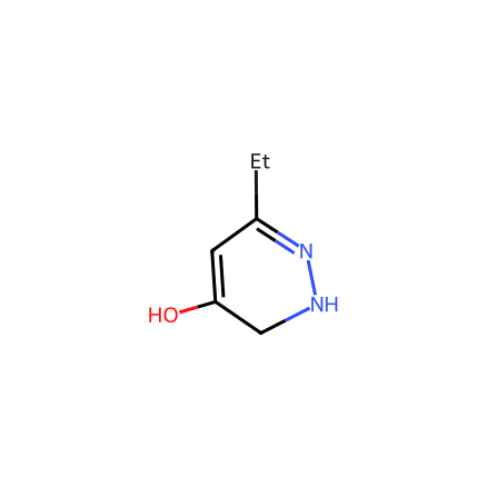 CCC1=NNCC(O)=C1